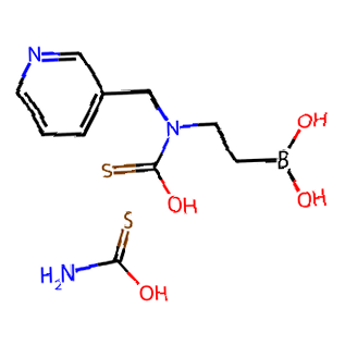 NC(O)=S.OB(O)CCN(Cc1cccnc1)C(O)=S